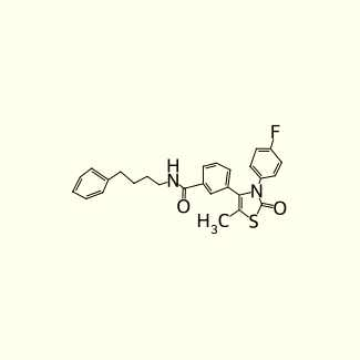 Cc1sc(=O)n(-c2ccc(F)cc2)c1-c1cccc(C(=O)NCCCCc2ccccc2)c1